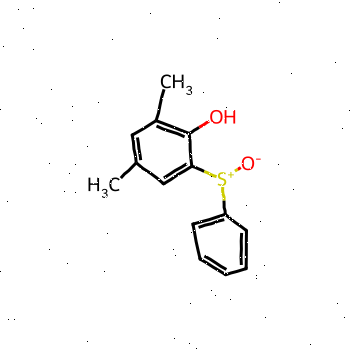 Cc1cc(C)c(O)c([S+]([O-])c2ccccc2)c1